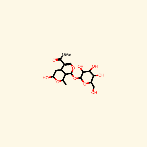 COC(=O)C1=COC(OC2OC(CO)C(O)C(O)C2O)C2C(C)OC(O)CC12